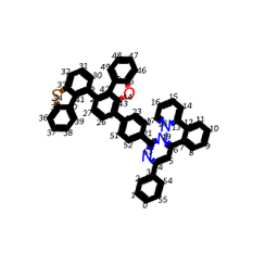 c1ccc(-c2cc(-c3ccccc3-c3ccccn3)nc(-c3ccc(-c4ccc(-c5cccc6sc7ccccc7c56)c5c4oc4ccccc45)cc3)n2)cc1